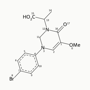 COC1=CN(c2ccc(Br)cc2)CN(C(C)C(=O)O)C1=O